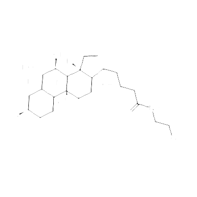 C[C@H](CCC(=O)NCCS(=O)(=O)O)[C@H]1CC[C@H]2[C@@H]3[C@H](O)[C@@H](O)[C@@H]4C[C@H](O)CC[C@]4(C)[C@H]3CC[C@]12C